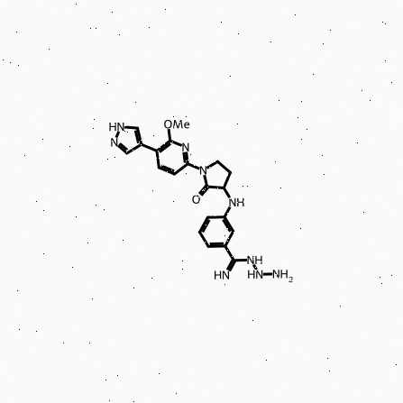 COc1nc(N2CCC(Nc3cccc(C(=N)NNN)c3)C2=O)ccc1-c1cn[nH]c1